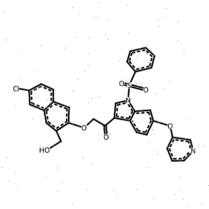 O=C(COc1cc2ccc(Cl)cc2cc1CO)c1cn(S(=O)(=O)c2ccccc2)c2cc(Oc3cccnc3)ccc12